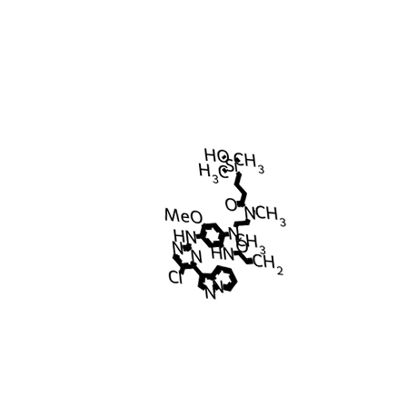 C=CC(=O)Nc1cc(Nc2ncc(Cl)c(-c3cnn4ccccc34)n2)c(OC)cc1N(C)CCN(C)C(=O)CCC[Si](C)(C)O